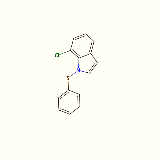 Clc1cccc2ccn(Sc3ccccc3)c12